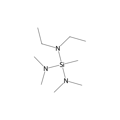 CCN(CC)[Si](C)(N(C)C)N(C)C